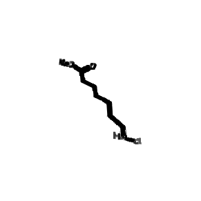 COC(=O)CCCCCCNCl